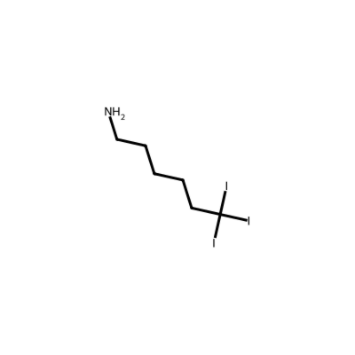 NCCCCCC(I)(I)I